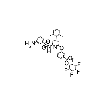 Cc1cccc(C)c1-c1cc(NS(=O)(=O)c2cccc(N)c2)nc(Oc2cccc(C(=O)Oc3c(F)c(F)c(F)c(F)c3F)c2)c1